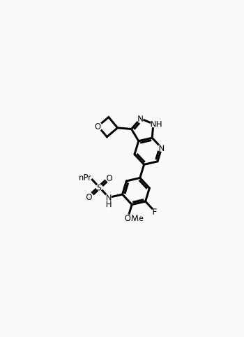 CCCS(=O)(=O)Nc1cc(-c2cnc3[nH]nc(C4COC4)c3c2)cc(F)c1OC